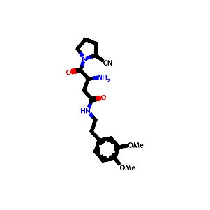 COc1ccc(CCNC(=O)CC(N)C(=O)N2CCCC2C#N)cc1OC